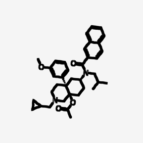 COc1cccc([C@@]23CCN(CC4CC4)C[C@@]2(OC(C)=O)CC[C@H](N(CC(C)C)C(=O)c2ccc4ccccc4c2)C3)c1